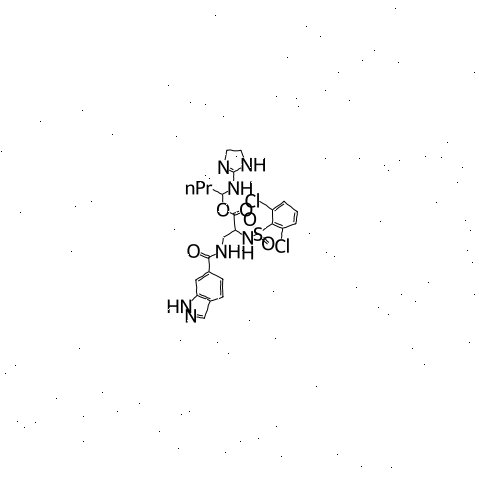 CCCC(NC1=NCCN1)OC(=O)C(CNC(=O)c1ccc2cn[nH]c2c1)NS(=O)(=O)c1c(Cl)cccc1Cl